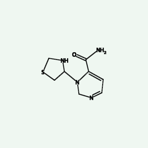 NC(=O)C1=CC=NCN1C1CSCN1